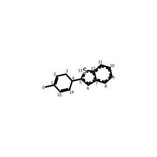 CC1=CCC(c2cc3ccccc3s2)C=C1